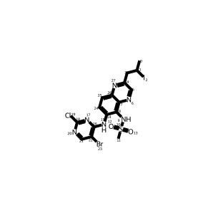 CC(I)Cc1cnc2c(NS(C)(=O)=O)c(Nc3nc(Cl)ncc3Br)ccc2n1